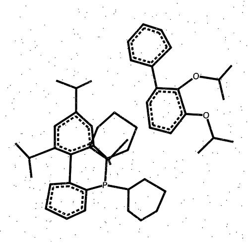 CC(C)Oc1cccc(-c2ccccc2)c1OC(C)C.CC(C)c1cc(C(C)C)c(-c2ccccc2P(C2CCCCC2)C2CCCCC2)c(C(C)C)c1